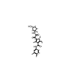 Cc1cc(NC(=O)c2c(C)c(C(=O)C(=O)N[C@@]3(C)CC[C@@H](O)C3)n(C)c2C)ccc1F